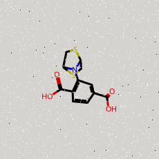 O=C(O)c1ccc(C(=O)O)c(N2C3CSC2CS3)c1